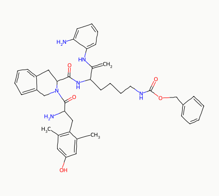 C=C(Nc1ccccc1N)C(CCCCNC(=O)OCc1ccccc1)NC(=O)C1Cc2ccccc2CN1C(=O)C(N)Cc1c(C)cc(O)cc1C